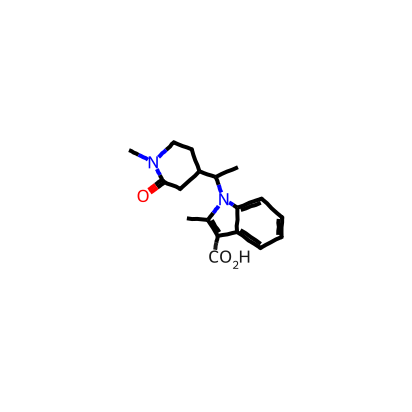 Cc1c(C(=O)O)c2ccccc2n1C(C)C1CCN(C)C(=O)C1